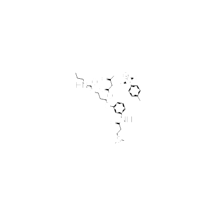 CCCNC(=O)OCCC(OC(=O)CC(C)=O)Oc1cccc(NC(=O)CC[S+](C)C)c1.Cc1ccc(S(=O)(=O)[O-])cc1